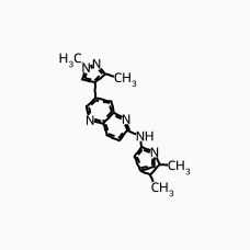 Cc1nn(C)cc1-c1cnc2ccc(Nc3cc4cn3C(C)C4C)nc2c1